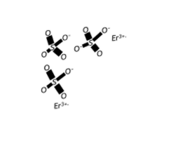 O=S(=O)([O-])[O-].O=S(=O)([O-])[O-].O=S(=O)([O-])[O-].[Er+3].[Er+3]